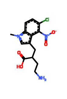 Cn1cc(CC(CCN)C(=O)O)c2c([N+](=O)[O-])c(Cl)ccc21